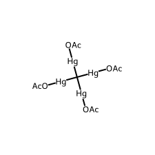 CC(=O)[O][Hg][C]([Hg][O]C(C)=O)([Hg][O]C(C)=O)[Hg][O]C(C)=O